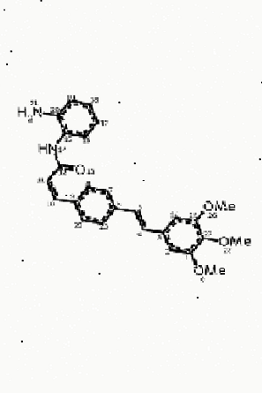 COc1cc(/C=C/c2ccc(/C=C\C(=O)Nc3ccccc3N)cc2)cc(OC)c1OC